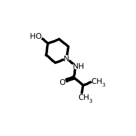 CC(C)C(=O)NN1CCC(O)CC1